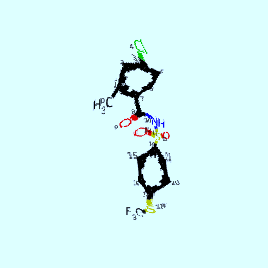 Cc1cc(Cl)ccc1C(=O)NS(=O)(=O)c1ccc(SC(F)(F)F)cc1